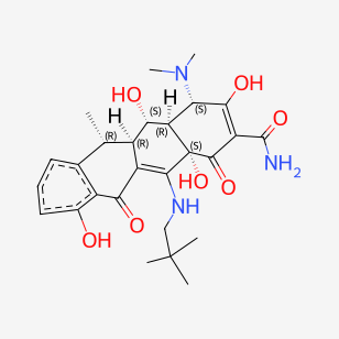 C[C@H]1c2cccc(O)c2C(=O)C2=C(NCC(C)(C)C)[C@]3(O)C(=O)C(C(N)=O)=C(O)[C@@H](N(C)C)[C@@H]3[C@@H](O)[C@@H]21